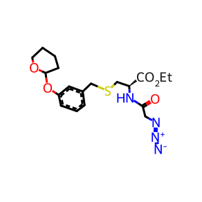 CCOC(=O)[C@H](CSCc1cccc(OC2CCCCO2)c1)NC(=O)CN=[N+]=[N-]